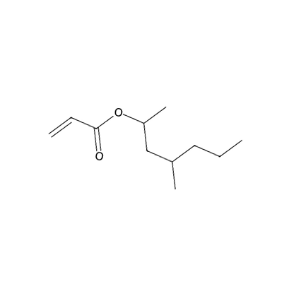 C=CC(=O)OC(C)CC(C)CCC